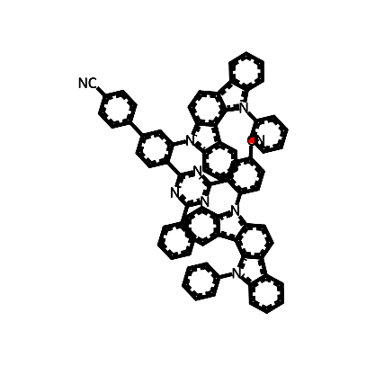 N#Cc1ccc(-c2ccc(-c3nc(-c4ccccc4)nc(-c4cc(C#N)ccc4-n4c5ccccc5c5c4ccc4c6ccccc6n(-c6ccccc6)c45)n3)c(-n3c4ccccc4c4c3ccc3c5ccccc5n(-c5ccccc5)c34)c2)cc1